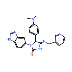 CN(C)c1ccc(C2/C(=N/Cc3cccnc3)NC(=O)N2c2ccc3[nH]cnc3c2)cc1